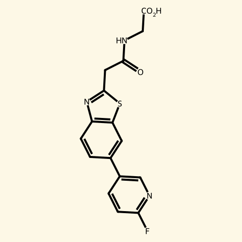 O=C(O)CNC(=O)Cc1nc2ccc(-c3ccc(F)nc3)cc2s1